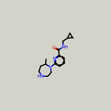 CC1CCNCCN1c1cccc(C(=O)NCC2CC2)n1